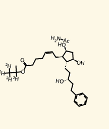 CC(N)=O.[2H]C([2H])([2H])C([2H])(C)OC(=O)CCC/C=C\C[C@@H]1[C@@H](CC[C@@H](O)CCc2ccccc2)[C@H](O)C[C@@H]1O